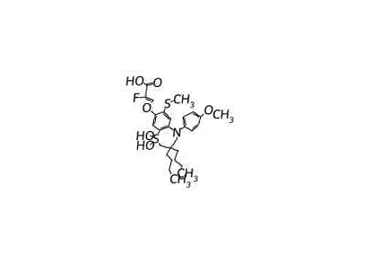 CCCCC1(CCCC)CN(c2ccc(OC)cc2)c2cc(SC)c(OC=C(F)C(=O)O)cc2S(O)(O)C1